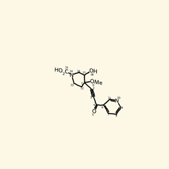 COC1(C#CC(=O)c2cccnc2)CCN(C(=O)O)CC1O